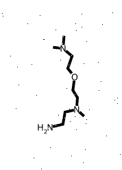 CN(C)CCOCCN(C)CCN